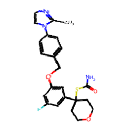 Cc1nccn1-c1ccc(COc2cc(F)cc(C3(SC(N)=O)CCOCC3)c2)cc1